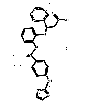 O=C(O)CC(Sc1ccccc1NC(=O)c1ccc(Nc2ncc[nH]2)cc1)c1ccccc1